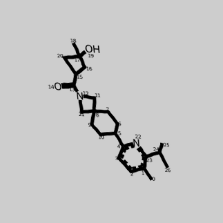 Cc1ccc(C2CCC3(CC2)CN(C(=O)C2CC(C)(O)C2)C3)nc1C(C)C